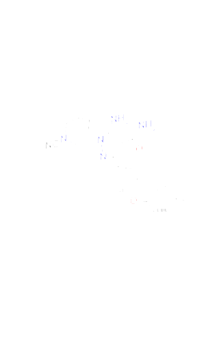 Cc1ccc(Oc2ccc(-c3nn([C@H]4CCCN(C#N)C4)c(N)c3C(N)=O)cc2)cc1C